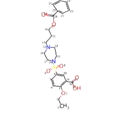 CCOc1ccc(S(=O)(=O)N2CCN(CCCOC(=O)c3ccccc3)CC2)cc1C(=O)O